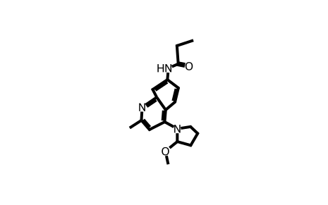 CCC(=O)Nc1ccc2c(N3CCCC3OC)cc(C)nc2c1